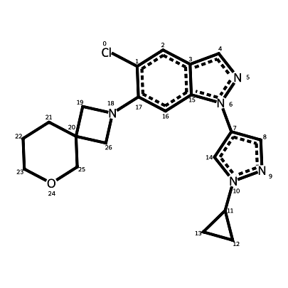 Clc1cc2cnn(-c3cnn(C4CC4)c3)c2cc1N1CC2(CCCOC2)C1